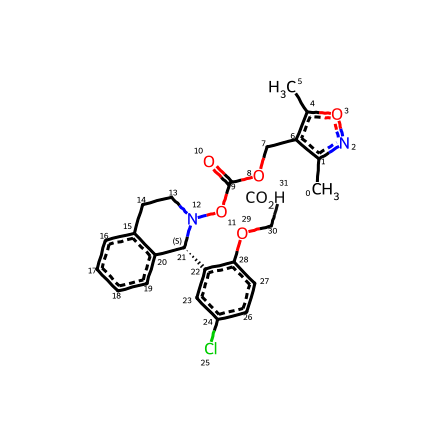 Cc1noc(C)c1COC(=O)ON1CCc2ccccc2[C@H]1c1cc(Cl)ccc1OCC(=O)O